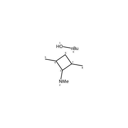 CCCCO.CNC1C(C)CC1C